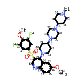 CCOc1c(F)cc(S(=O)(=O)c2cnc3ccc(OC(F)(F)F)cc3c2N2CCC(N3CCN(C4CCN(CC)CC4)CC3)CC2)cc1F